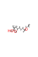 C=CCOC(C)CCCCCC(C)C(=O)O